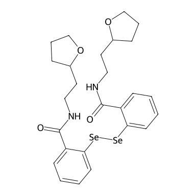 O=C(NCCC1CCCO1)c1ccccc1[Se][Se]c1ccccc1C(=O)NCCC1CCCO1